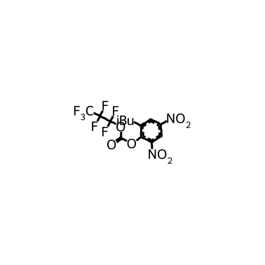 CCC(C)c1cc([N+](=O)[O-])cc([N+](=O)[O-])c1OC(=O)OC(F)(F)C(F)(F)C(F)(F)F